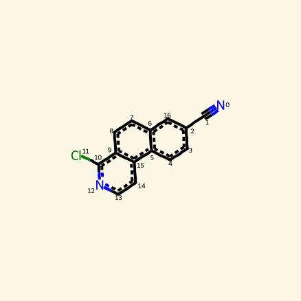 N#Cc1ccc2c(ccc3c(Cl)nccc32)c1